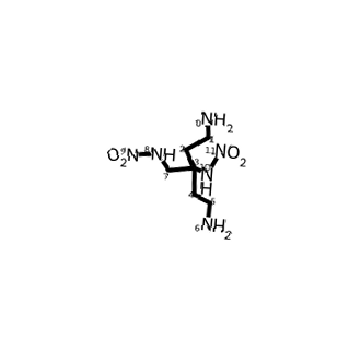 NCCC(CCN)(CN[N+](=O)[O-])N[N+](=O)[O-]